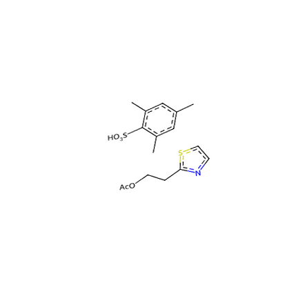 CC(=O)OCCc1nccs1.Cc1cc(C)c(S(=O)(=O)O)c(C)c1